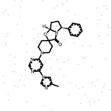 Cc1cn(-c2cc(N3CCC4(CC3)O[C@@H]3CC[C@@H](c5ccccc5)N3C4=O)ncn2)cn1